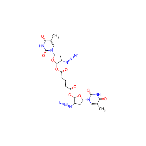 Cc1cn(C2CC(N=[N+]=[N-])C(OC(=O)CCCC(=O)OC3OC(n4cc(C)c(=O)[nH]c4=O)CC3N=[N+]=[N-])O2)c(=O)[nH]c1=O